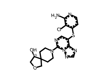 Nc1nccc(Sc2cnc(N3CCC4(CC3)COC[C@H]4O)n3ncnc23)c1Cl